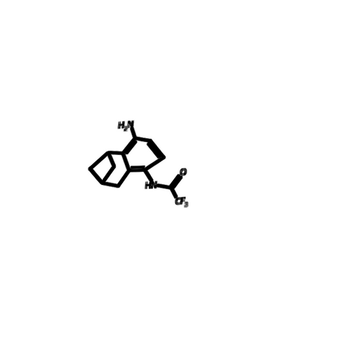 Nc1ccc(NC(=O)C(F)(F)F)c2c1C1CC(C2)C1